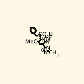 COC1=C(N(Cc2ccccc2)C(=O)O)N2CN(F)N=C2C(c2nc(C)no2)=C1